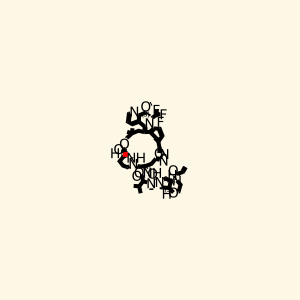 C=CC(=O)N1CCO[C@H]2CN(C(=O)N(C)C(C(=O)N[C@H]3Cc4nnc(o4)-c4ccc5c(c4)c(c(-c4cccnc4[C@H](C)OC)n5CC(F)(F)F)CC(C)(C)COC(=O)[C@@]4(S)CCCN(N4)C3=O)C(C)C)C[C@H]21